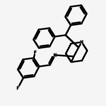 Fc1ccc(F)c(C=NC2C3CCN(CC3)C2C(c2ccccc2)c2ccccc2)c1